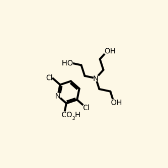 O=C(O)c1nc(Cl)ccc1Cl.OCCN(CCO)CCO